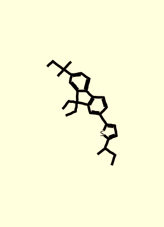 CCC(C)c1ccc(-c2ccc3c(c2)C(CC)(CC)c2cc(C(C)(C)CC)ccc2-3)s1